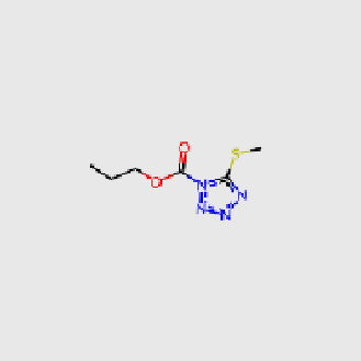 CCCOC(=O)n1nnnc1SC